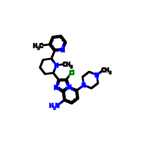 Cc1cccnc1C1CCCC(c2nc3c(N)ccc(N4CCN(C)CC4)n3c2Cl)N1C